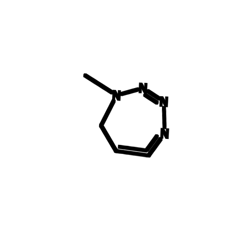 CN1CC=C=NN=N1